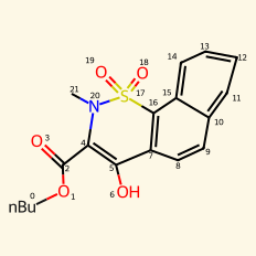 CCCCOC(=O)C1=C(O)c2ccc3ccccc3c2S(=O)(=O)N1C